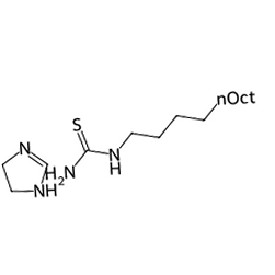 C1=NCCN1.CCCCCCCCCCCCNC(N)=S